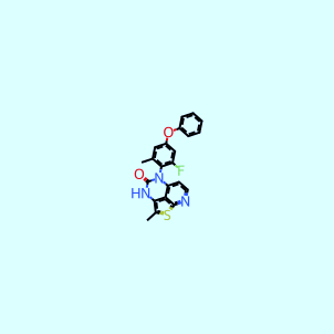 Cc1cc(Oc2ccccc2)cc(F)c1N1C(=O)Nc2c(C)sc3nccc1c23